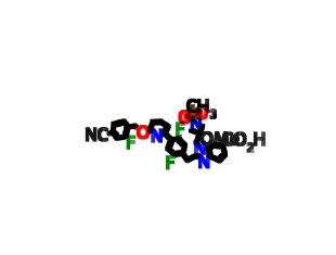 COC1(Cn2c(Cc3cc(F)c(-c4cccc(OCc5ccc(C#N)cc5F)n4)cc3F)nc3ccc(C(=O)O)cc32)CN(S(C)(=O)=O)C1